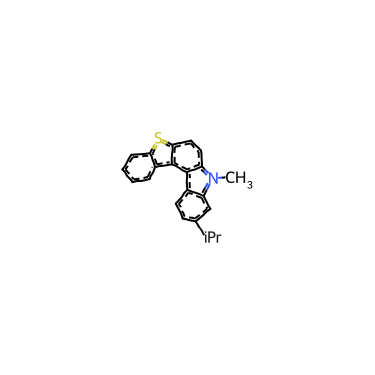 CC(C)c1ccc2c3c4c(ccc3n(C)c2c1)sc1ccccc14